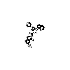 O=C(CN1CCc2ccc(C(F)(F)F)cc2C1=O)NC1CN(C2CCOCC2)C[C@@H]1OC1CCc2cccnc21